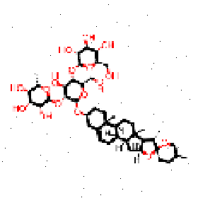 C[C@H]1CC[C@@]2(OC1)O[C@H]1C[C@H]3[C@@H]4CC=C5C[C@@H](O[C@@H]6O[C@H](CO)[C@@H](O[C@@H]7O[C@H](CO)[C@@H](O)[C@H](O)[C@H]7O)[C@H](O)[C@H]6O[C@@H]6O[C@@H](C)[C@H](O)[C@@H](O)[C@H]6O)CC[C@]5(C)[C@H]4CC[C@]3(C)[C@H]1[C@@H]2C